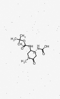 CN1CC(NC(=O)OC(C)(C)C)[C@H](NC(=O)O)CC1=O